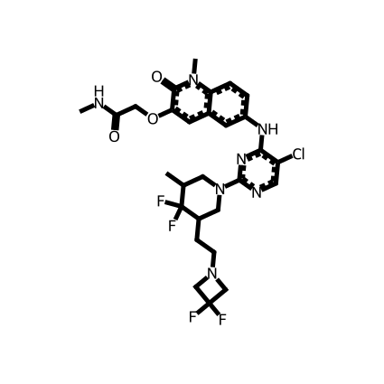 CNC(=O)COc1cc2cc(Nc3nc(N4CC(C)C(F)(F)C(CCN5CC(F)(F)C5)C4)ncc3Cl)ccc2n(C)c1=O